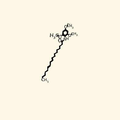 CCCCCC=CCC=CCCCCCCCC(=O)Nc1c(OC)cc(OC)cc1OC